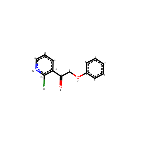 O=C(COc1ccccc1)c1cccnc1F